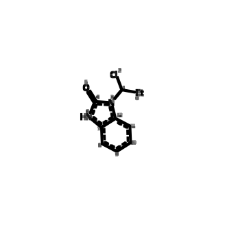 CCC(Cl)n1c(=O)[nH]c2ccccc21